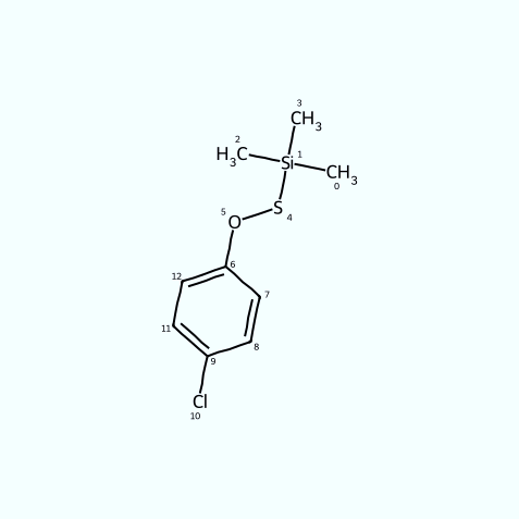 C[Si](C)(C)SOc1ccc(Cl)cc1